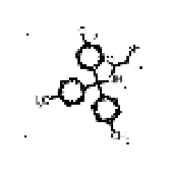 Cc1ccc(C(NC(=O)CS)(c2ccc(C)cc2)c2ccc(C)cc2)cc1